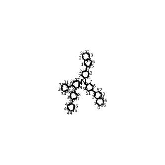 C1=Cc2cc(-c3ccc(N(c4ccc(-c5ccc6c(c5)CCC=C6)cc4)c4ccc(-c5ccccc5)c(-c5ccc(-c6ccccc6)cc5)c4)cc3)ccc2CC1